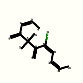 C=C(/C=C\C)C(C)(C)C(=C)/C(F)=C\C=C/C